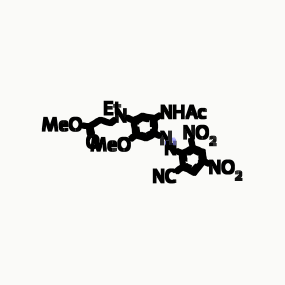 CCN(CCC(=O)OC)c1cc(NC(C)=O)c(/N=N/c2c(C#N)cc([N+](=O)[O-])cc2[N+](=O)[O-])cc1OC